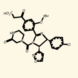 CC(C)(C)Oc1cc(C(=O)CC(=O)O)ccc1C1=N[C@@H](c2ccc(Cl)cc2)[C@@H](c2ccon2)N1C(=O)N1CCNC(=O)C1